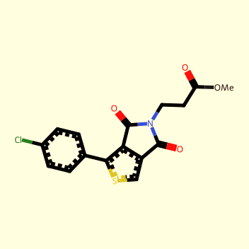 COC(=O)CCN1C(=O)c2csc(-c3ccc(Cl)cc3)c2C1=O